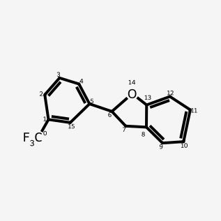 FC(F)(F)c1cccc(C2Cc3ccccc3O2)c1